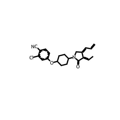 C=C/C=C1/CN(C2CCC(Oc3ccc(C#N)c(Cl)c3)CC2)C(=O)/C1=C/C